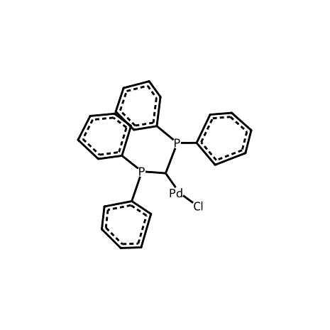 [Cl][Pd][CH](P(c1ccccc1)c1ccccc1)P(c1ccccc1)c1ccccc1